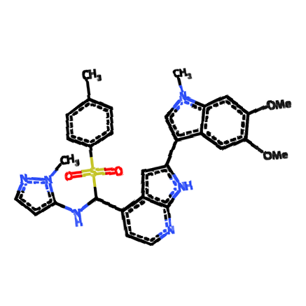 COc1cc2c(-c3cc4c(C(Nc5ccnn5C)S(=O)(=O)c5ccc(C)cc5)ccnc4[nH]3)cn(C)c2cc1OC